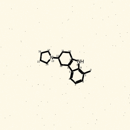 Cc1cccc2c3c([nH]c12)CCC(N1CCCC1)C3